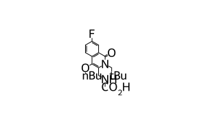 CCCCOc1c(CNC(=O)O)n(CC(C)(C)C)c(=O)c2cc(F)ccc12